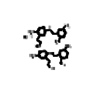 Cl.Cl.Nc1ccc(N)c(CNc2ccc(N)c(CCO)c2)c1.Nc1ccc(N)c(CNc2ccc(N)cc2CCO)c1